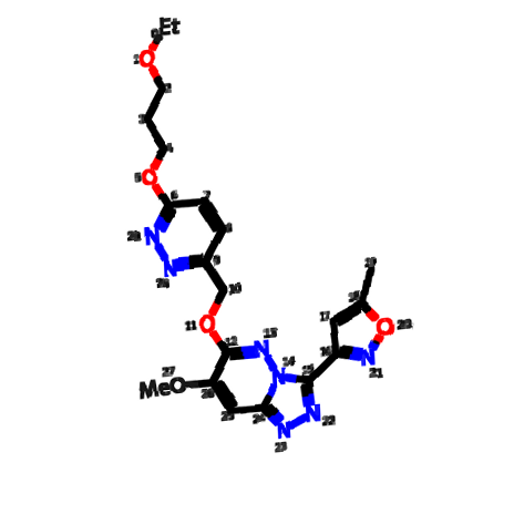 CCOCCCOc1ccc(COc2nn3c(-c4cc(C)on4)nnc3cc2OC)nn1